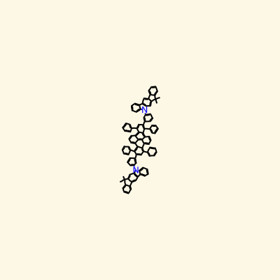 CC1(C)c2ccccc2-c2cc3c4ccccc4n(-c4cccc(-c5cc(-c6ccccc6)c6c7cccc8c9c(-c%10ccccc%10)c(-c%10cccc(-n%11c%12ccccc%12c%12cc%13c(cc%12%11)C(C)(C)c%11ccccc%11-%13)c%10)cc(-c%10ccccc%10)c9c9cccc(c6c5-c5ccccc5)c9c78)c4)c3cc21